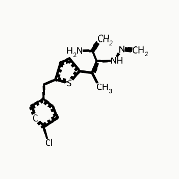 C=NN/C(C(=C)N)=C(\C)c1ccc(Cc2ccc(Cl)cc2)s1